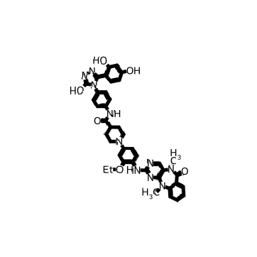 CCOc1cc(N2CCC(C(=O)Nc3ccc(-n4c(O)nnc4-c4ccc(O)cc4O)cc3)CC2)ccc1Nc1ncc2c(n1)N(C)c1ccccc1C(=O)N2C